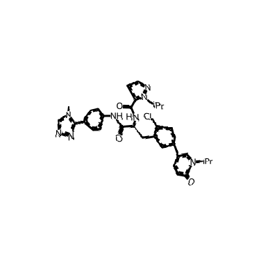 CC(C)n1nccc1C(=O)N[C@@H](Cc1cc(-c2ccc(=O)n(C(C)C)c2)ccc1Cl)C(=O)Nc1ccc(-c2nncn2C)cc1